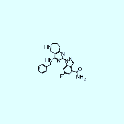 NC(=O)c1cc(F)cc2c1cnn2-c1nc2c(c(NCc3ccccc3)n1)CNCCC2